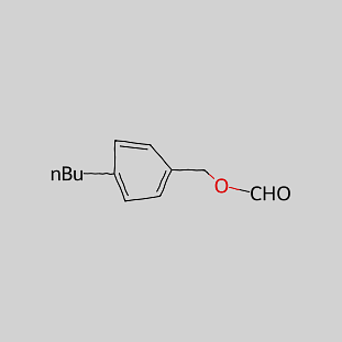 CCCCc1ccc(COC=O)cc1